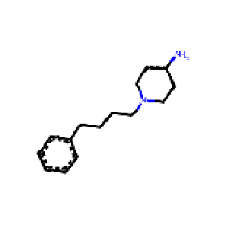 NC1CCN(CCCCc2ccccc2)CC1